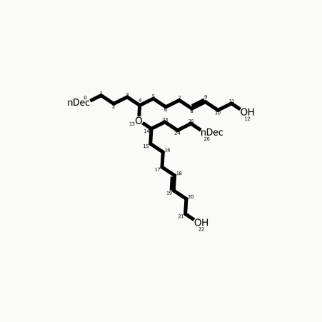 CCCCCCCCCCCCCC(CCCC=CCCO)OC(CCCC=CCCO)CCCCCCCCCCCCC